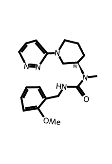 COc1ccccc1CNC(=O)N(C)[C@@H]1CCCN(c2cccnn2)C1